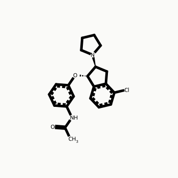 CC(=O)Nc1cccc(O[C@H]2c3cccc(Cl)c3C[C@@H]2N2CCCC2)c1